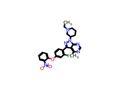 CCN1CCCC(n2nc(-c3ccc(Oc4ccccc4[N+](=O)[O-])cc3F)c3c(C)ncnc32)C1